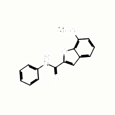 COc1cccc2cc(C(=O)Nc3ccccc3)oc12